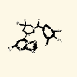 Cc1cc([C@@H]2CN(C(=O)c3cc(F)c(C)c(Br)c3)CC(F)(F)C2)n2ncnc2n1